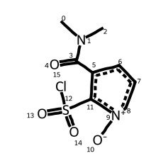 CN(C)C(=O)c1ccc[n+]([O-])c1S(=O)(=O)Cl